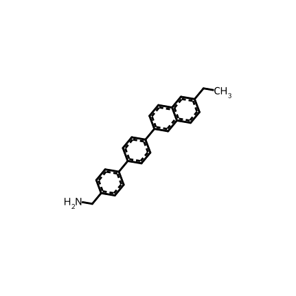 CCc1ccc2cc(-c3ccc(-c4ccc(CN)cc4)cc3)ccc2c1